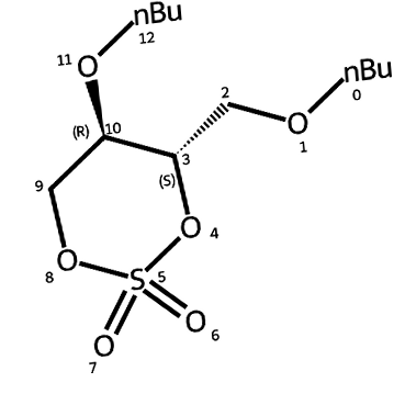 CCCCOC[C@@H]1OS(=O)(=O)OC[C@H]1OCCCC